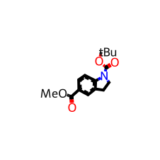 COC(=O)c1ccc2c(c1)CCN2C(=O)OC(C)(C)C